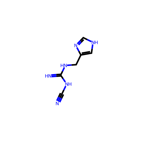 N#CNC(=N)NCc1c[nH]cn1